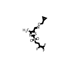 Cc1nc(S(=O)(=O)CCC(F)=C(F)F)sc1/C=N/OCC1CC1